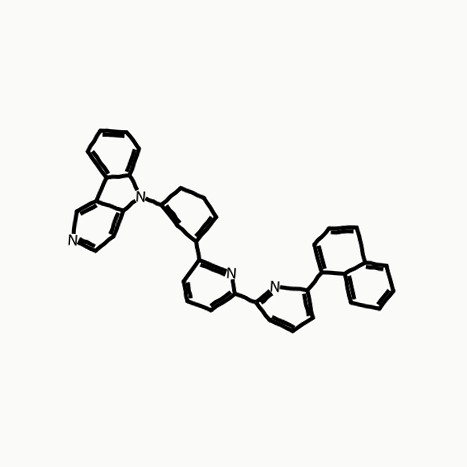 C1=C(c2cccc(-c3cccc(-c4cccc5ccccc45)n3)n2)C=C(n2c3ccccc3c3cnccc32)CC1